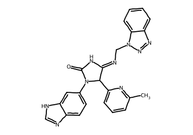 Cc1cccc(C2/C(=N/Cn3nnc4ccccc43)NC(=O)N2c2ccc3nc[nH]c3c2)n1